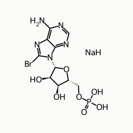 Nc1ncnc2c1nc(Br)n2[C@@H]1O[C@H](COP(=O)(O)O)[C@@H](O)[C@H]1O.[NaH]